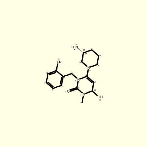 CN1C(=O)N(Cc2ccccc2C#N)C(N2CCC[C@@H](N)C2)=CC1O